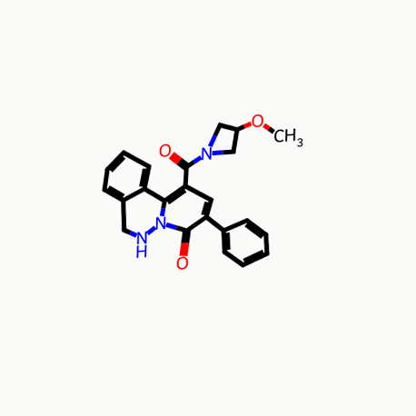 COC1CN(C(=O)c2cc(-c3ccccc3)c(=O)n3c2-c2ccccc2CN3)C1